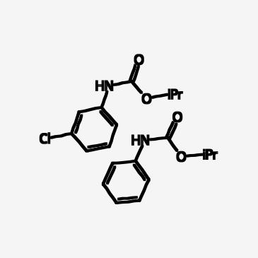 CC(C)OC(=O)Nc1cccc(Cl)c1.CC(C)OC(=O)Nc1ccccc1